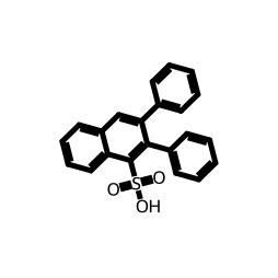 O=S(=O)(O)c1c(-c2ccccc2)c(-c2ccccc2)cc2ccccc12